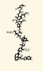 Cc1c(-c2ccc(-c3ccc4cncc(C(=O)Nc5nc6ccccc6s5)c4c3)nc2C(=O)O)cnn1CC12CC3(C)CC(C)(C1)CC(OCCN(CCS(=O)(=O)O)C(=O)OCc1ccc(N(C(=O)[C@@H](NC(=O)CCCCCN4C(=O)C=CC4=O)C(C)C)[C@@H](CCCNC(N)=O)C(N)=O)cc1)(C3)C2